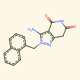 Nc1c2c(nn1Cc1cccc3ccccc13)CC(=O)NC2=O